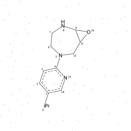 CC(C)c1ccc(N2CCNC3OC3C2)nc1